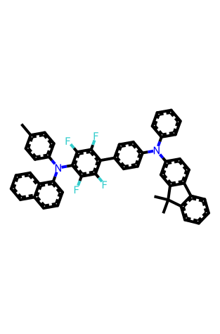 Cc1ccc(N(c2c(F)c(F)c(-c3ccc(N(c4ccccc4)c4ccc5c(c4)C(C)(C)c4ccccc4-5)cc3)c(F)c2F)c2cccc3ccccc23)cc1